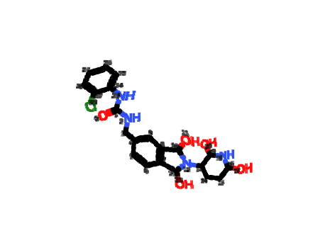 O=C(NCc1ccc2c(c1)C(O)N(C1CCC(O)NC1O)C2O)Nc1ccccc1Cl